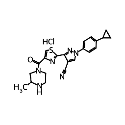 C[C@H]1CN(C(=O)c2csc(-c3nn(-c4ccc(C5CC5)cc4)cc3C#N)n2)CCN1.Cl